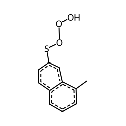 Cc1cccc2ccc(SOOO)cc12